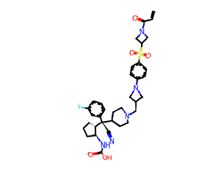 C=CC(=O)N1CC(S(=O)(=O)c2ccc(N3CC(CN4CCC([C@@](C#N)(c5cccc(F)c5)[C@H]5CCC[C@@H]5NC(=O)O)CC4)C3)cc2)C1